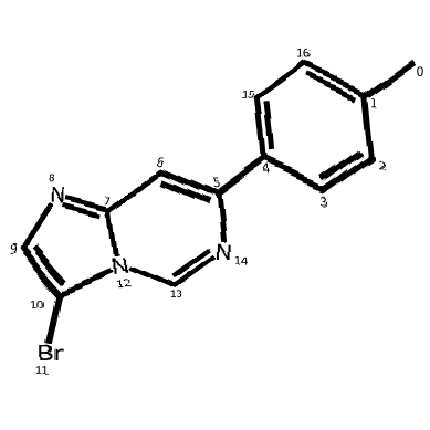 Cc1ccc(-c2cc3ncc(Br)n3cn2)cc1